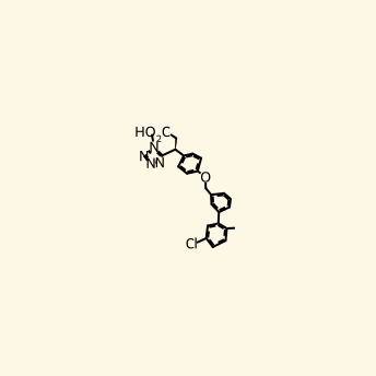 Cc1ccc(Cl)cc1-c1cccc(COc2ccc([C@H](CC(=O)O)c3nnnn3C)cc2)c1